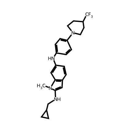 Cn1c(NCC2CC2)cc2ccc(Nc3ccc(N4CCC(C(F)(F)F)CC4)cc3)cc21